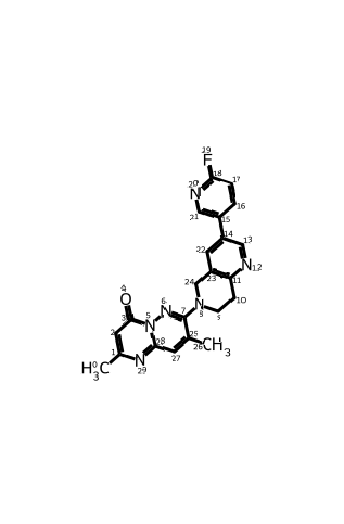 Cc1cc(=O)n2nc(N3CCc4ncc(-c5ccc(F)nc5)cc4C3)c(C)cc2n1